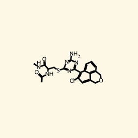 CNC(=O)C(CSc1nc(N)nc(-c2c(Cl)cc3c4c(cccc24)COC3)n1)NC(C)=O